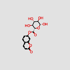 O=C(Oc1ccc2ccc(=O)oc2c1)[C@H]1O[C@@H](O)[C@H](O)[C@@H](O)[C@@H]1O